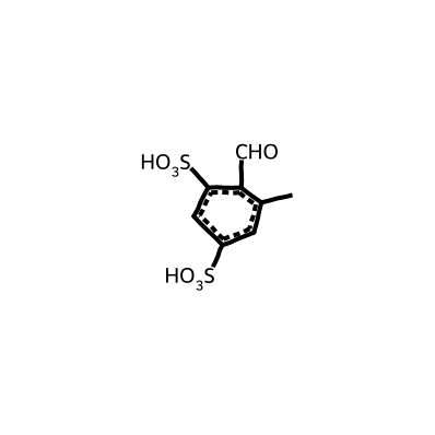 Cc1cc(S(=O)(=O)O)cc(S(=O)(=O)O)c1C=O